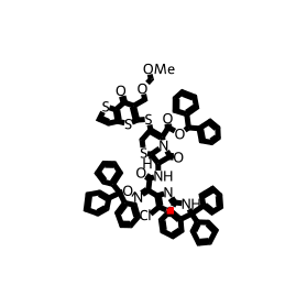 COCOCc1c(SC2=C(C(=O)OC(c3ccccc3)c3ccccc3)N3C(=O)C(NC(=O)/C(=N\OC(c4ccccc4)(c4ccccc4)c4ccccc4)c4nc(NC(c5ccccc5)(c5ccccc5)c5ccccc5)sc4Cl)[C@H]3SC2)sc2ccsc2c1=O